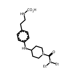 CCN(CC)C(=O)N1CCC(Nc2ccc(CCNC(=O)O)cc2)CC1